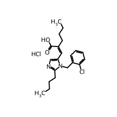 CCCC/C(=C/c1cnc(CCCC)n1Cc1ccccc1Cl)C(=O)O.Cl